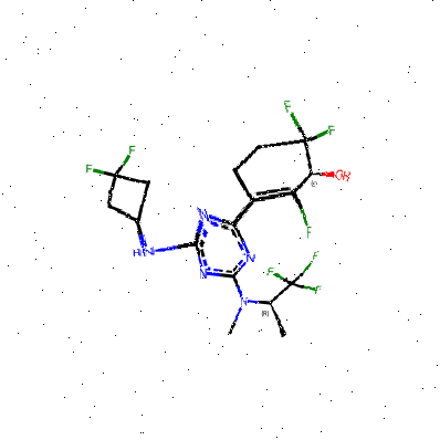 C[C@@H](N(C)c1nc(NC2CC(F)(F)C2)nc(C2=C(F)[C@H](O)C(F)(F)CC2)n1)C(F)(F)F